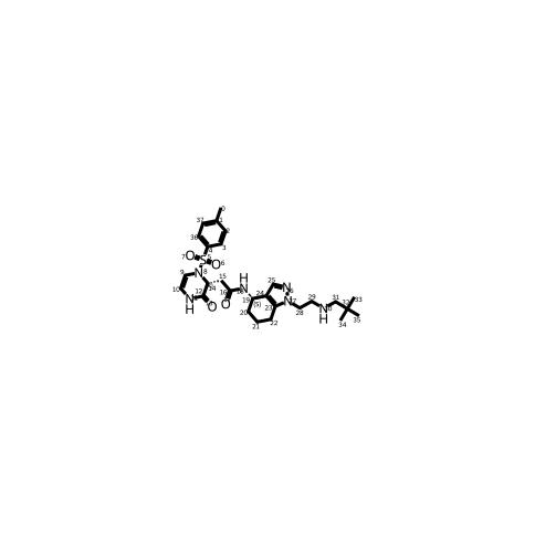 Cc1ccc(S(=O)(=O)N2C=CNC(=O)[C@H]2CC(=O)N[C@H]2CCCc3c2cnn3CCNCC(C)(C)C)cc1